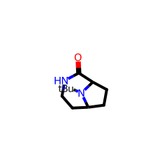 CC(C)(C)N1C2CCNC(=O)C1CC2